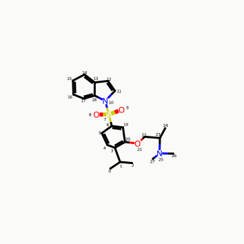 CC(C)c1ccc(S(=O)(=O)n2ccc3ccccc32)cc1OCC(C)N(C)C